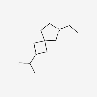 CCN1CCC2(C1)CN(C(C)C)C2